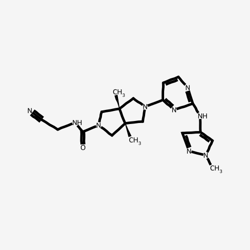 Cn1cc(Nc2nccc(N3C[C@]4(C)CN(C(=O)NCC#N)C[C@]4(C)C3)n2)cn1